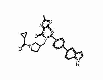 Cc1nc2c(=O)n(CC3CCN(C(=O)C4CC4)C3)c(-c3ccc(-c4ccc5[nH]ccc5c4)cc3)nc2o1